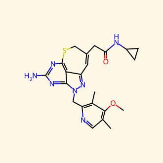 COc1c(C)cnc(Cn2nc3c4c(nc(N)nc42)SCC(CC(=O)NC2CC2)=C3)c1C